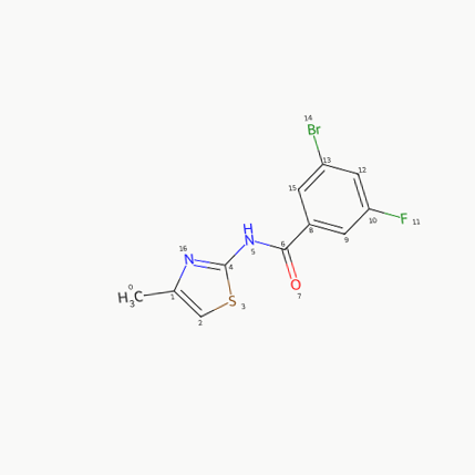 Cc1csc(NC(=O)c2cc(F)cc(Br)c2)n1